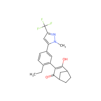 CCc1ccc(-c2cc(C(F)(F)F)nn2C)cc1C1=C(O)C2CCC(C2)C1=O